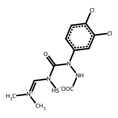 C[N+](C)=CN(S)C(=O)N(NC(=O)[O-])c1ccc(Cl)c(Cl)c1